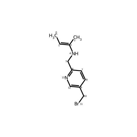 CC=C(C)NCc1ccc(CBr)cn1